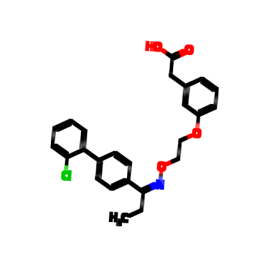 CCC(=NOCCOc1cccc(CC(=O)O)c1)c1ccc(-c2ccccc2Cl)cc1